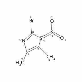 CC1=C(C)S(=S(=O)=O)C(Br)=N1